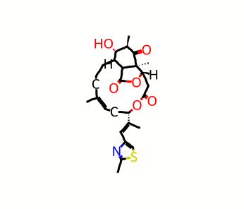 C/C1=C/C[C@@H](/C(C)=C/c2csc(C)n2)OC(=O)C[C@@H]2OC(=O)C3[C@@H](CCC1)[C@H](O)[C@@H](C)C(=O)[C@]32C